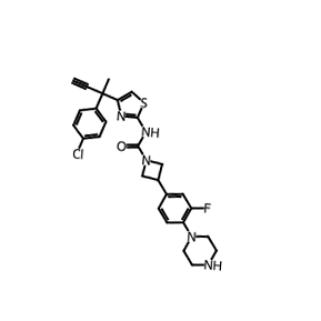 C#CC(C)(c1ccc(Cl)cc1)c1csc(NC(=O)N2CC(c3ccc(N4CCNCC4)c(F)c3)C2)n1